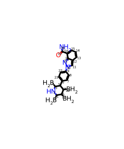 BC1NC(B)C(c2ccc(-n3cc4cccc(C(N)=O)c4n3)cc2)C(B)C1B